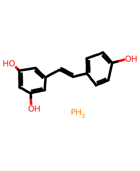 Oc1ccc(C=Cc2cc(O)cc(O)c2)cc1.P